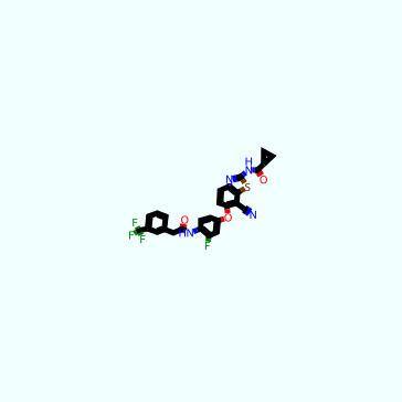 N#Cc1c(Oc2ccc(NC(=O)Cc3cccc(C(F)(F)F)c3)c(F)c2)ccc2nc(NC(=O)C3CC3)sc12